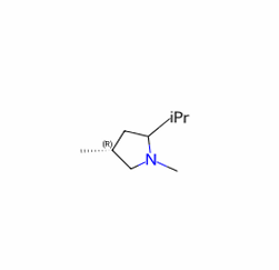 CC(C)C1C[C@@H](C)CN1C